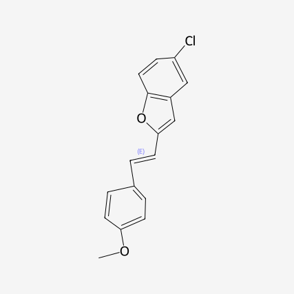 COc1ccc(/C=C/c2cc3cc(Cl)ccc3o2)cc1